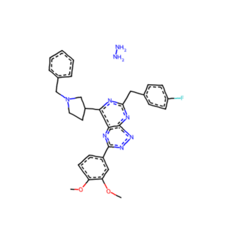 COc1ccc(-c2nnc3nc(Cc4ccc(F)cc4)nc(C4CCN(Cc5ccccc5)C4)c3n2)cc1OC.NN